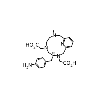 CN1CCN(CC(=O)O)C[C@H](Cc2ccc(N)cc2)N(CC(=O)O)Cc2cccc(n2)C1